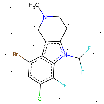 CN1CCc2c(c3c(Br)cc(Cl)c(F)c3n2C(F)F)C1